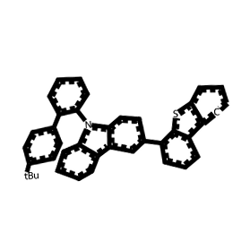 CC(C)(C)c1ccc(-c2ccccc2-n2c3ccccc3c3cc(-c4cccc5c4sc4ccccc45)ccc32)cc1